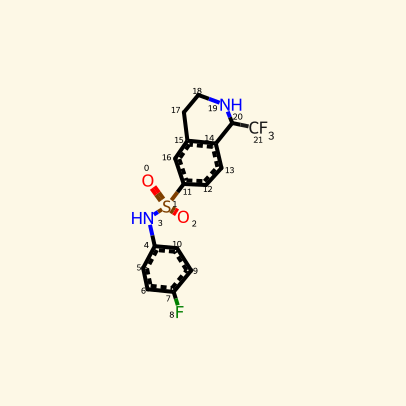 O=S(=O)(Nc1ccc(F)cc1)c1ccc2c(c1)CCNC2C(F)(F)F